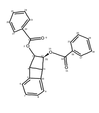 O=C(OC1C2c3ccccc3C2[C@@H]1OC(=O)c1ccccc1)c1ccccc1